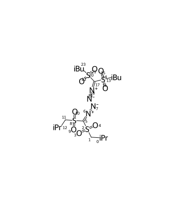 CC(C)CS(=O)(=O)C(=[N+]=[N-])S(=O)(=O)CC(C)C.CCC(C)S(=O)(=O)C(=[N+]=[N-])S(=O)(=O)C(C)CC